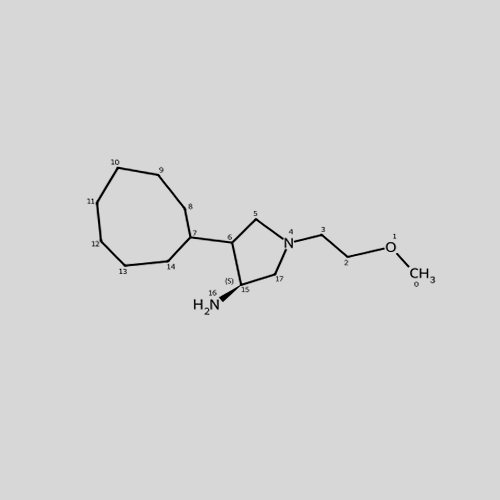 COCCN1CC(C2CCCCCCC2)[C@H](N)C1